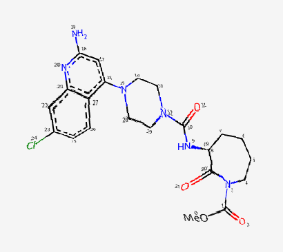 COC(=O)N1CCCC[C@H](NC(=O)N2CCN(c3cc(N)nc4cc(Cl)ccc34)CC2)C1=O